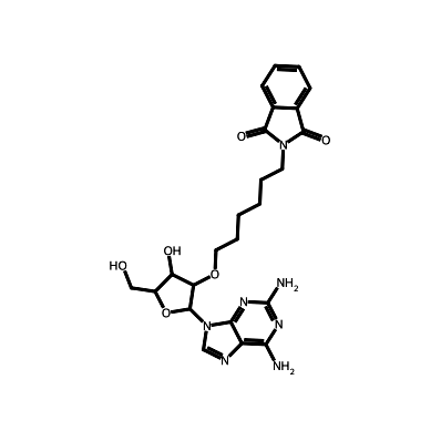 Nc1nc(N)c2ncn(C3OC(CO)C(O)C3OCCCCCCN3C(=O)c4ccccc4C3=O)c2n1